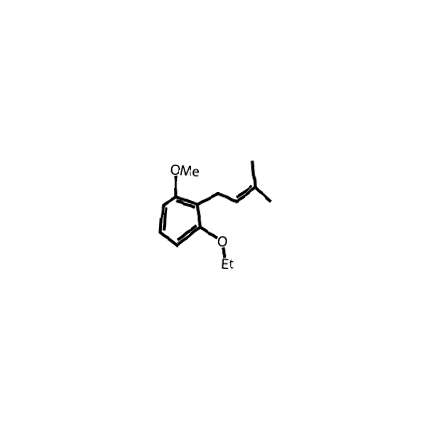 CCOc1cccc(OC)c1CC=C(C)C